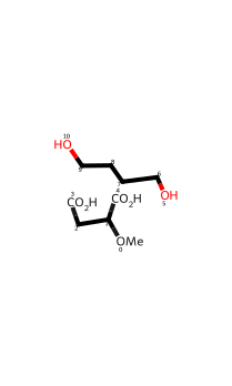 COC(CC(=O)O)C(=O)O.OCCCCO